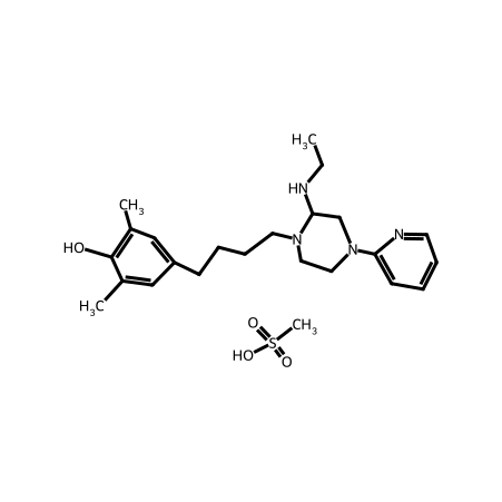 CCNC1CN(c2ccccn2)CCN1CCCCc1cc(C)c(O)c(C)c1.CS(=O)(=O)O